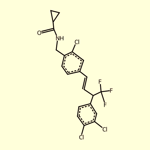 O=C(NCc1ccc(/C=C/C(c2ccc(Cl)c(Cl)c2)C(F)(F)F)cc1Cl)C1CC1